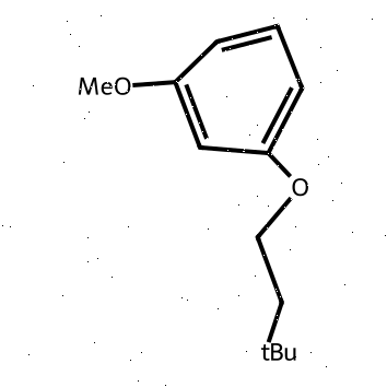 COc1cccc(OCCC(C)(C)C)c1